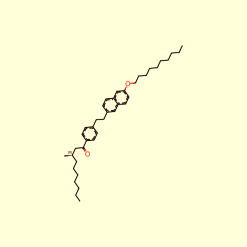 CCCCCCCCCCOc1ccc2cc(CCc3ccc(C(=O)C[C@H](C)CCCCCCC)cc3)ccc2c1